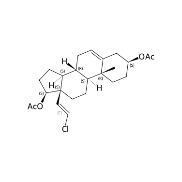 CC(=O)O[C@H]1CC[C@@]2(C)C(=CC[C@H]3[C@@H]4CC[C@H](OC(C)=O)[C@@]4(/C=C/Cl)CC[C@@H]32)C1